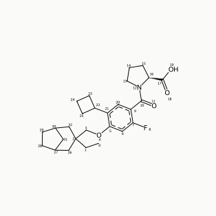 CCC1(COc2cc(F)c(C(=O)N3CCC[C@H]3C(=O)O)cc2C2CCC2)CC2CCC(C2)C1